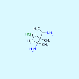 CC(N)C(C)(C)C(C)(C)N.Cl